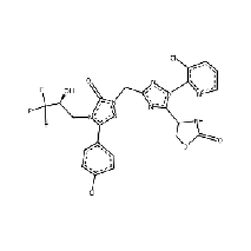 O=C1NC(c2nc(Cn3nc(-c4ccc(Cl)cc4)n(C[C@H](O)C(F)(F)F)c3=O)nn2-c2ncccc2Cl)CO1